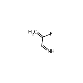 C=C(F)C=N